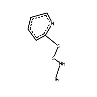 CC(C)NSSc1ccccn1